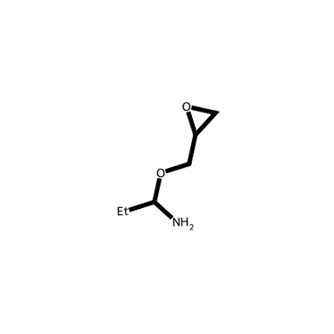 CCC(N)OCC1CO1